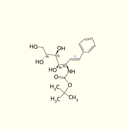 CC(C)(C)OC(=O)N[C@H](/C=C/c1ccccc1)[C@@H](O)[C@H](O)[C@H](O)CO